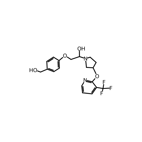 OCc1ccc(OCC(O)N2CCC(Oc3ncccc3C(F)(F)F)C2)cc1